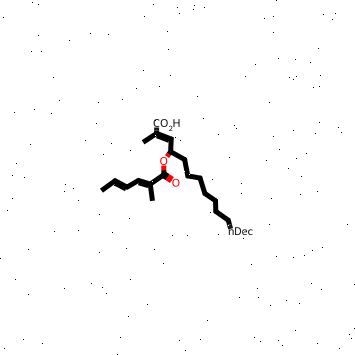 CC=CC=C(C)C(=O)OC(C=C(C)C(=O)O)CCCCCCCCCCCCCCCCC